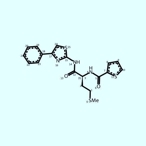 CSCC[C@H](NC(=O)c1cccs1)C(=O)Nc1nc(-c2ccccc2)cs1